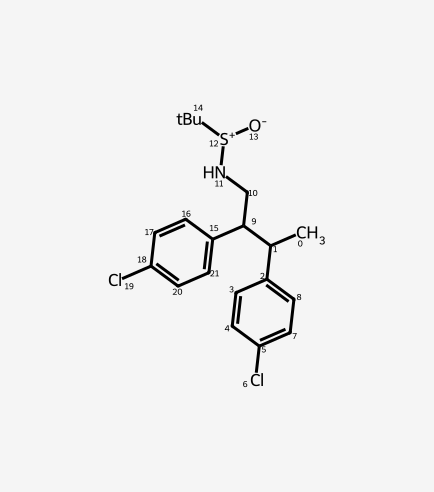 CC(c1ccc(Cl)cc1)C(CN[S+]([O-])C(C)(C)C)c1ccc(Cl)cc1